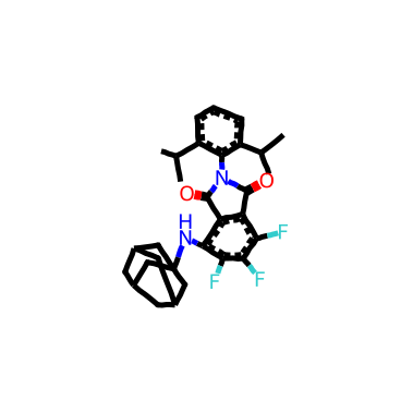 CC(C)c1cccc(C(C)C)c1N1C(=O)c2c(F)c(F)c(F)c(NC34CC5CC(CC(C5)C3)C4)c2C1=O